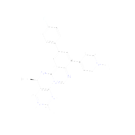 C[C@@H](Nc1ncnc2c(C3=CCN(C)CC3)cc(-c3ccc(F)cc3)cc12)c1cnc(C(F)(F)F)nc1